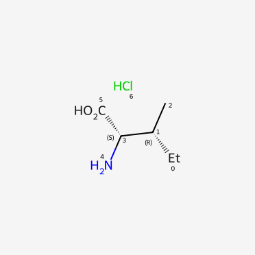 CC[C@@H](C)[C@H](N)C(=O)O.Cl